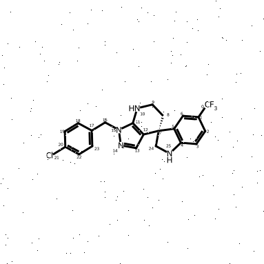 FC(F)(F)c1ccc2c(c1)[C@@]1(CCNc3c1cnn3Cc1ccc(Cl)cc1)CN2